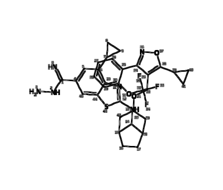 N=C(NN)c1cc(C2CC2)c2nc(NC3C4CCC3CC(OCc3c(-c5ccccc5OC(F)(F)F)noc3C3CC3)C4)sc2c1